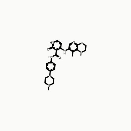 Cc1c(Nc2cc[nH]c(=O)c2C(=O)Nc2ccc(N3CCN(C)CC3)cc2)cnc2c1NCCO2